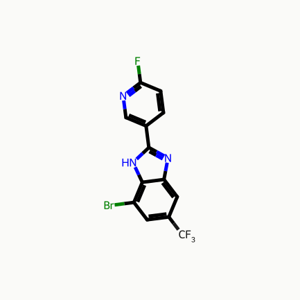 Fc1ccc(-c2nc3cc(C(F)(F)F)cc(Br)c3[nH]2)cn1